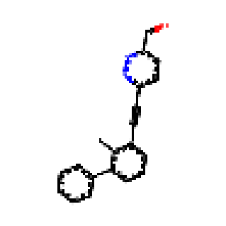 Cc1c(C#Cc2ccc(C=O)nn2)cccc1-c1ccccc1